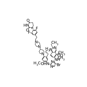 CCc1ncc2c(P(C)(C)=O)c(Nc3nc(Nc4cc(CC)c(N5CCC(N6CCN(CCc7cc(F)c([C@H]8CCC(=O)NC8=O)c(F)c7)CC6)CC5)cc4OC)ncc3Br)ccc2n1